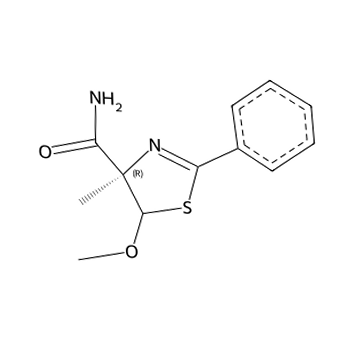 COC1SC(c2ccccc2)=N[C@]1(C)C(N)=O